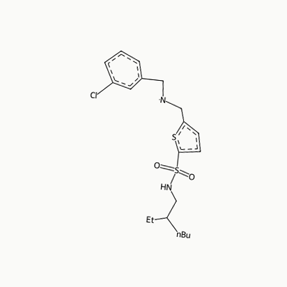 CCCCC(CC)CNS(=O)(=O)c1ccc(C[N]Cc2cccc(Cl)c2)s1